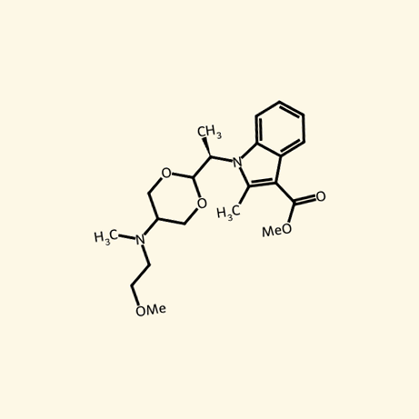 COCCN(C)C1COC([C@@H](C)n2c(C)c(C(=O)OC)c3ccccc32)OC1